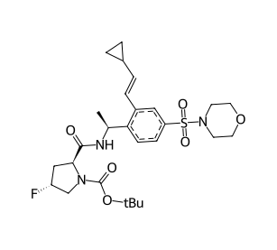 C[C@H](NC(=O)[C@@H]1C[C@@H](F)CN1C(=O)OC(C)(C)C)c1ccc(S(=O)(=O)N2CCOCC2)cc1/C=C/C1CC1